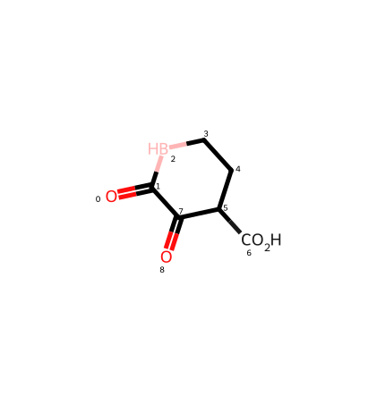 O=C1BCCC(C(=O)O)C1=O